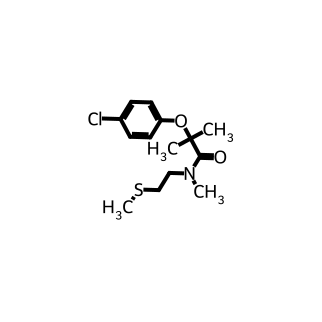 CSCCN(C)C(=O)C(C)(C)Oc1ccc(Cl)cc1